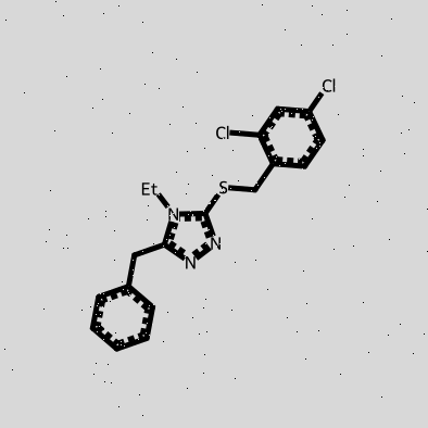 CCn1c(Cc2ccccc2)nnc1SCc1ccc(Cl)cc1Cl